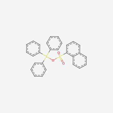 O=S(=O)(OS(c1ccccc1)(c1ccccc1)c1ccccc1)c1cccc2ccccc12